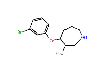 CC1CNCCCC1Oc1cccc(Br)c1